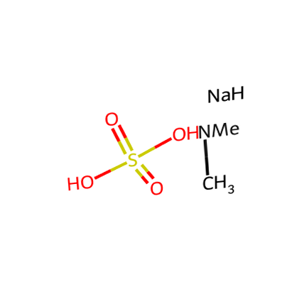 CNC.O=S(=O)(O)O.[NaH]